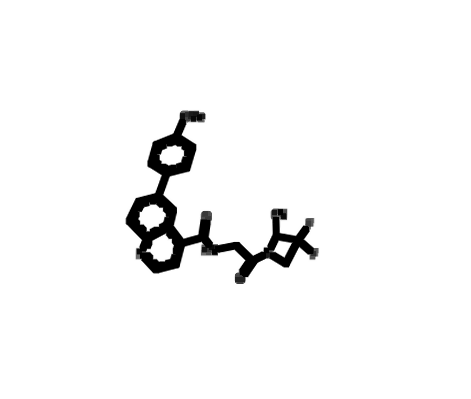 COc1ccc(-c2ccc3nccc(C(=O)NCC(=O)N4CC(F)(F)C4C#N)c3c2)cc1